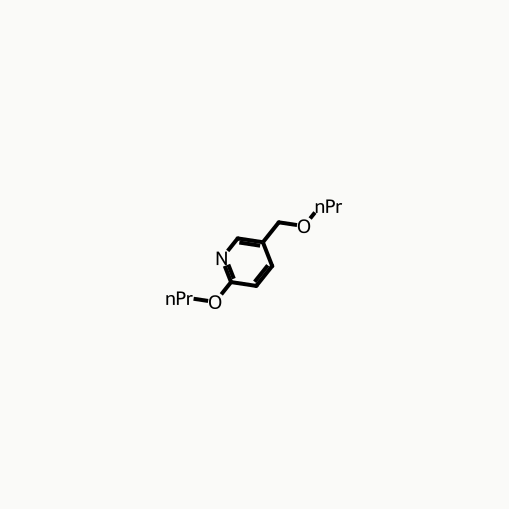 CCCOCc1ccc(OCCC)nc1